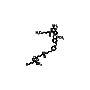 CCCCCNc1nc(N)nc2ccn(Cc3ccc(CN4CCN(CCCNC(=O)CCCC(=O)ON(C)C(=O)CCC=O)CC4)cc3OC)c12